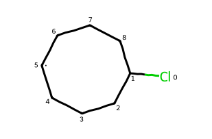 ClC1CCC[CH]CCC1